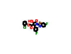 O=C(COc1ccccc1Cl)C1=C(O)C(=O)N(C2=NC3C=CC(F)=CC3S2)C1c1ccc(F)cc1